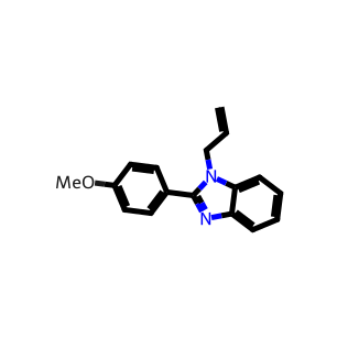 C=CCn1c(-c2ccc(OC)cc2)nc2ccccc21